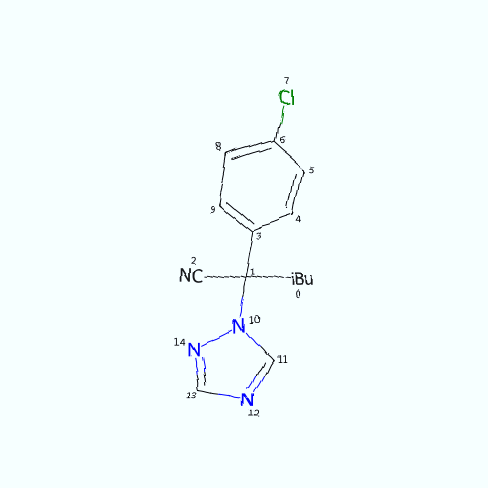 CCC(C)C(C#N)(c1ccc(Cl)cc1)n1cncn1